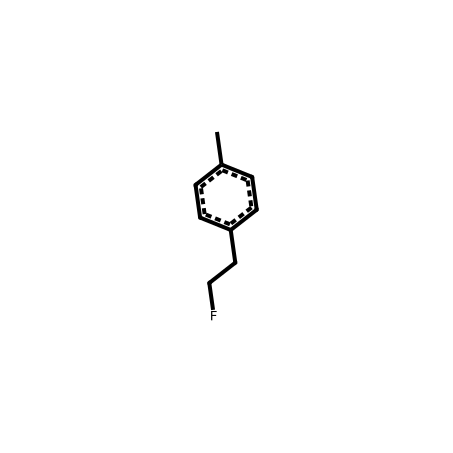 Cc1ccc(CCF)cc1